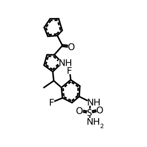 CC(c1ccc(C(=O)c2ccccc2)[nH]1)c1c(F)cc(NS(N)(=O)=O)cc1F